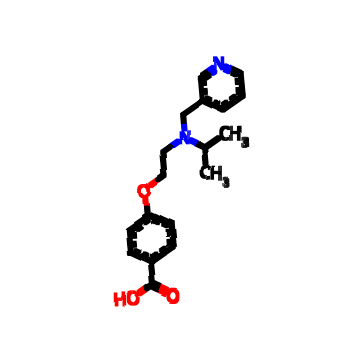 CC(C)N(CCOc1ccc(C(=O)O)cc1)Cc1cccnc1